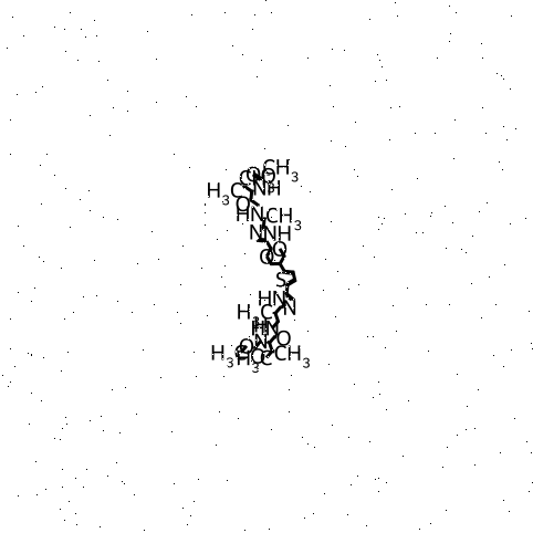 COC(=O)N[C@@H](C(=O)CN[C@H](C)c1ncc(C2OCC(c3ccc(-c4cnc([C@H](C)CNC(=O)[C@H](NC(=O)OC)C(C)C)[nH]4)s3)CO2)[nH]1)C(C)C